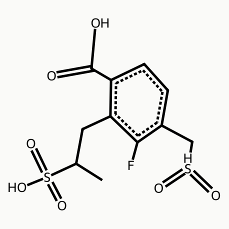 CC(Cc1c(C(=O)O)ccc(C[SH](=O)=O)c1F)S(=O)(=O)O